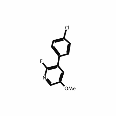 COc1cnc(F)c(-c2ccc(Cl)cc2)c1